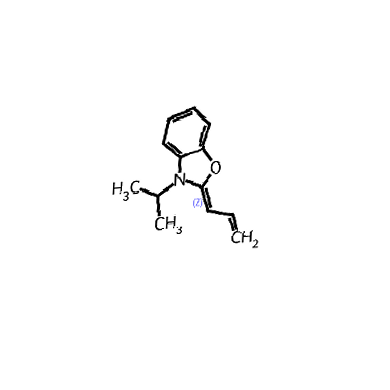 C=C/C=C1\Oc2ccccc2N1C(C)C